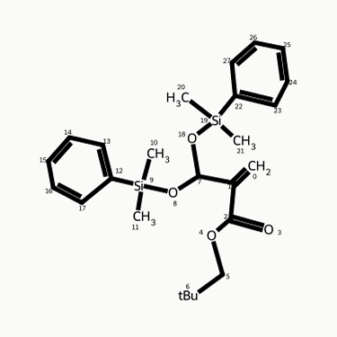 C=C(C(=O)OCC(C)(C)C)C(O[Si](C)(C)c1ccccc1)O[Si](C)(C)c1ccccc1